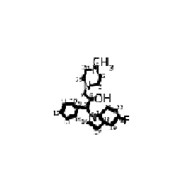 CN1CCN(CC(O)C(c2ccccc2)n2ccc3cc(F)ccc32)CC1